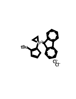 CC(C)(C)C1=[C]([Zr+2]2([CH]3c4ccccc4-c4ccccc43)[CH2][CH2]2)CC=C1.[Cl-].[Cl-]